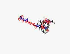 COc1cc2cc(c1Cl)N(C)C(=O)C[C@H](OC(=O)C1CCC(CNC(=O)CCOCCOCCOCCOCCNC(=O)CCN3C(=O)C=CC3=O)CC1)[C@@H](C)C(=O)[C@H](C)[C@@H]1C[C@@](O)(NC(=O)O1)C(OC)/C=C/C=C(\C)C2